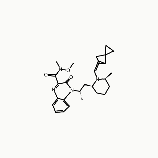 CON(C)C(=O)c1nc2ccccc2n([C@@H](C)C[C@@H]2CCC[C@H](C)N2C=C2C3CC2C32CC2)c1=O